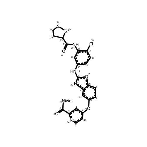 CNC(=O)c1cc(Oc2ccc3oc(Nc4ccc(Cl)c(NC(=O)C5CCSS5)c4)nc3c2)ccn1